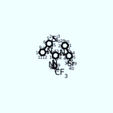 C[Si](C)(C)c1ccc2c3ccccc3n(-c3cc(-n4cc(C(F)(F)F)cn4)cc(-n4c5ccccc5c5ccc([Si](C)(C)C)cc54)c3)c2c1